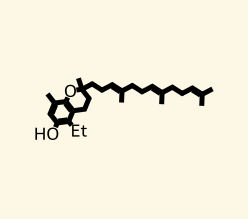 CCc1c(O)cc(C)c2c1CCC(C)(CC/C=C(\C)CC/C=C(\C)CCC=C(C)C)O2